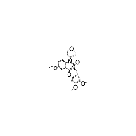 CCOc1ccc2c(c1)c(=O)n(Cc1ccc(OC)c(OC)c1)c(=O)n2C1CCOCC1